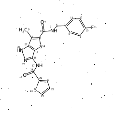 Cc1c(C(=O)NCc2ccc(F)cc2)sc2c(NC(=O)c3cccs3)n[nH]c12